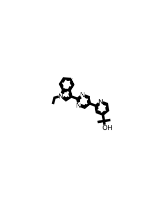 CCn1cc(-c2ncc(-c3cc(C(C)(C)O)ccn3)cn2)c2c[c]ccc21